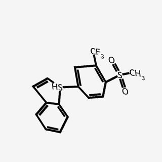 CS(=O)(=O)c1ccc([SH]2C=Cc3ccccc32)cc1C(F)(F)F